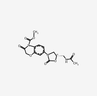 COC(=O)N1C(=O)COc2cc(N3C[C@H](CNC(C)=O)OC3=O)ccc21